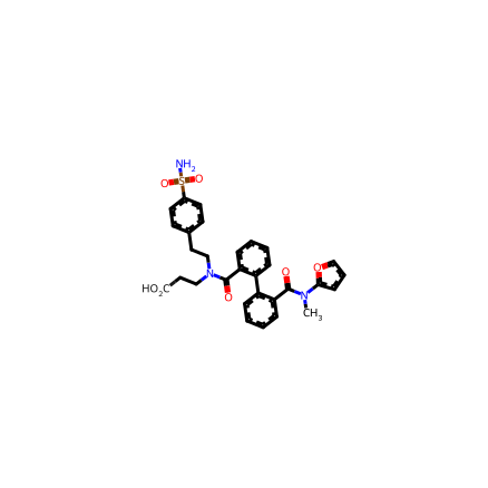 CN(C(=O)c1ccccc1-c1ccccc1C(=O)N(CCC(=O)O)CCc1ccc(S(N)(=O)=O)cc1)c1ccco1